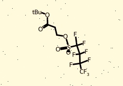 CC(C)(C)OC(=O)CCOS(=O)(=O)C(F)(F)C(F)(F)C(F)(F)C(F)(F)F